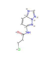 O=C(CCCl)Nc1ccc2ncnn2n1